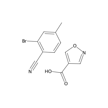 Cc1ccc(C#N)c(Br)c1.O=C(O)c1cnoc1